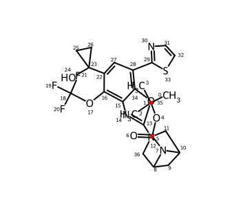 CC(C)(C)OC(=O)N1C2CC1CN(c1nc3c(OC(F)(F)F)c(C4(O)CC4)cc(-c4nccs4)c3o1)C2